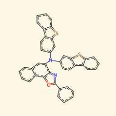 c1ccc(-c2nc3c(N(c4ccc5c(c4)sc4ccccc45)c4ccc5c(c4)sc4ccccc45)cc4ccccc4c3o2)cc1